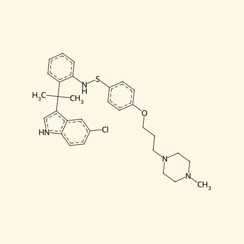 CN1CCN(CCCOc2ccc(SNc3ccccc3C(C)(C)c3c[nH]c4ccc(Cl)cc34)cc2)CC1